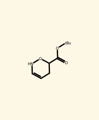 CC(C)(C)OC(=O)C1CC=CNO1